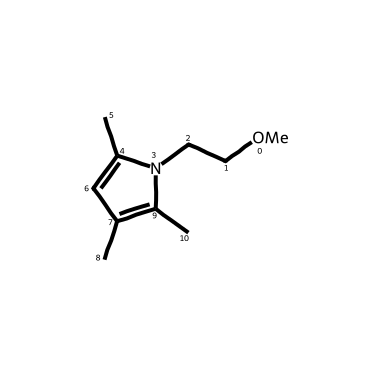 COCCn1c(C)cc(C)c1C